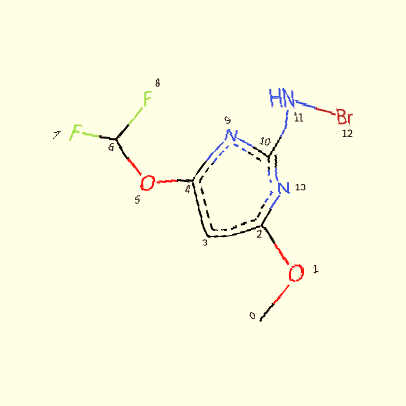 COc1cc(OC(F)F)nc(NBr)n1